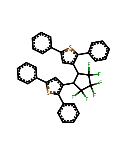 FC1(F)C(c2cc(-c3ccccc3)sc2-c2ccccc2)C(c2cc(-c3ccccc3)sc2-c2ccccc2)C(F)(F)C1(F)F